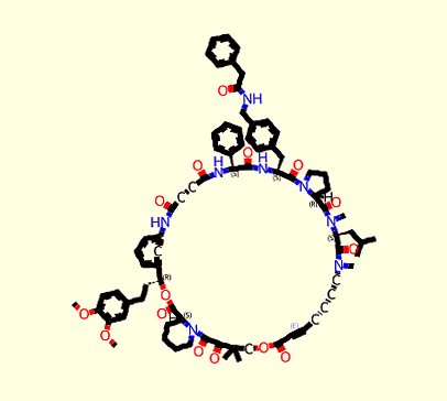 COc1ccc(CC[C@H]2OC(=O)[C@@H]3CCCCN3C(=O)C(=O)C(C)(C)COC(=O)/C=C/CCCCN(C)C(=O)[C@H](CC(C)C)N(C)C(=O)[C@H]3CCCN3C(=O)[C@H](Cc3ccc(CNC(=O)Cc4ccccc4)cc3)NC(=O)[C@H](c3ccccc3)NC(=O)CCC(=O)Nc3cccc2c3)cc1OC